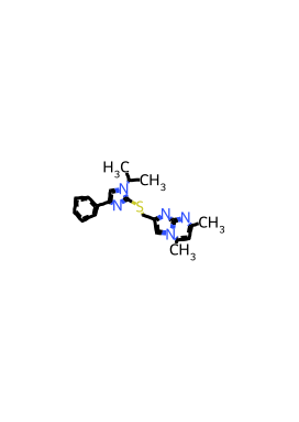 Cc1cc(C)n2cc(CSc3nc(-c4ccccc4)cn3C(C)C)nc2n1